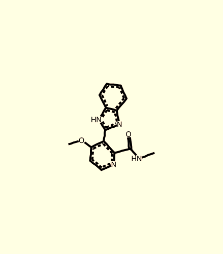 CNC(=O)c1nccc(OC)c1-c1nc2ccccc2[nH]1